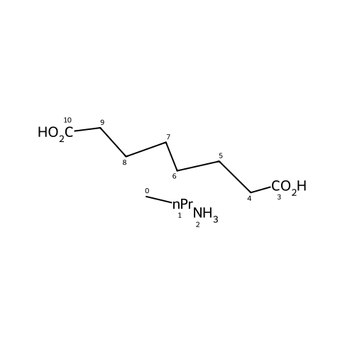 CCCC.N.O=C(O)CCCCCCC(=O)O